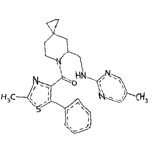 Cc1cnc(NCC2CC3(CCN2C(=O)c2nc(C)sc2-c2ccccc2)CC3)nc1